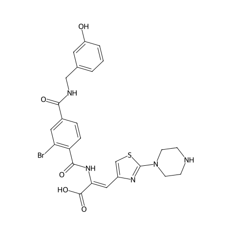 O=C(O)C(=Cc1csc(N2CCNCC2)n1)NC(=O)c1ccc(C(=O)NCc2cccc(O)c2)cc1Br